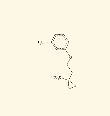 CCOC(=O)C1(CCOc2cccc(C(F)(F)F)c2)CO1